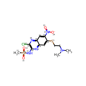 CN(C)CCSc1cc2nc(NS(C)(=O)=O)c(Cl)nc2cc1[N+](=O)[O-]